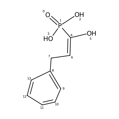 O=P(O)(O)C(O)=CCc1ccccc1